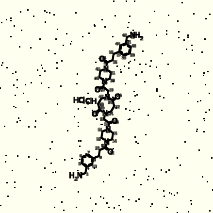 Cl.Cl.NCc1cccc(CCC(=O)N2CCN(C(=O)CN3CCC(=O)N(CC(=O)N4CCN(C(=O)CCc5cccc(CN)c5)CC4)CCC3=O)CC2)c1